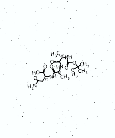 C[C@H](NC(=O)OC(C)(C)C)C(=O)N[C@@H](C)C(=O)N[C@@H](CC(N)=O)C(=O)O